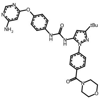 CC(C)(C)c1cc(NC(=O)Nc2ccc(Oc3cc(N)ncn3)cc2)n(-c2ccc(C(=O)N3CCOCC3)cc2)n1